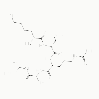 CC[C@H](NC(=O)[C@@H](NC(=O)[C@H](CCCNC(=N)N)NC(=O)[C@H](CC(=O)O)NC(=O)[C@@H](N)CCCCN)C(C)C)C(=O)O